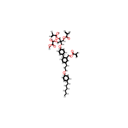 C=C(C)C(=O)OCc1cc(CCCOc2ccc(CCCCCC)cc2)ccc1-c1ccc(OCC(COC(=O)C(=C)C)(COC(=O)C(=C)C)COC(=O)C(=O)OC)cc1